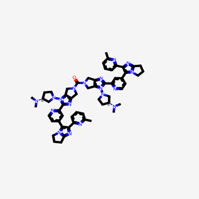 Cc1cccc(-c2nc3n(c2-c2ccnc(-c4nc5c(n4N4CC[C@@H](N(C)C)C4)CN(C(=O)N4Cc6nc(-c7cc(-c8c(-c9cccc(C)n9)nc9n8CCC9)ccn7)n(N7CC[C@@H](N(C)C)C7)c6C4)C5)c2)CCC3)n1